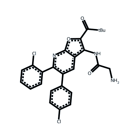 CC(C)(C)C(=O)c1oc2nc(-c3ccccc3Cl)c(-c3ccc(Cl)cc3)cc2c1NC(=O)CN